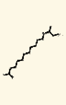 CC(C)CCCCCCCCCCNC(C)CN